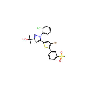 CC(C)(O)c1cc(-c2cc(Br)c(-c3cccc(S(C)(=O)=O)c3)s2)n(-c2ccccc2Cl)n1